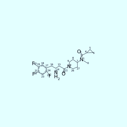 CN(C(=O)C1CC1)C1CCN(C(=O)C[C@H](N)Cc2cc(F)c(F)cc2F)CC1